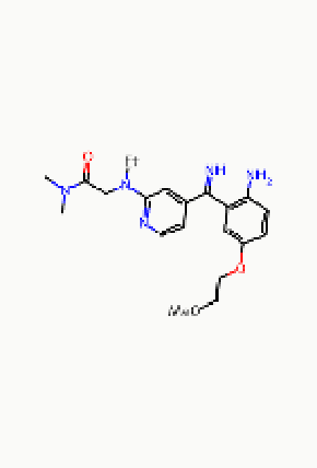 CCN(CC(=O)N(C)C)c1cc(C(=N)c2cc(OCCOC)ccc2N)ccn1